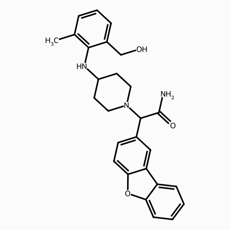 Cc1cccc(CO)c1NC1CCN(C(C(N)=O)c2ccc3oc4ccccc4c3c2)CC1